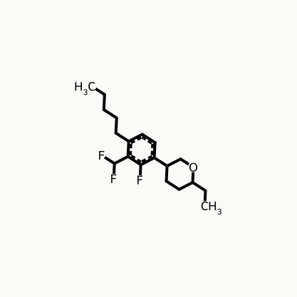 CCCCCc1ccc(C2CCC(CC)OC2)c(F)c1C(F)F